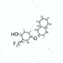 Oc1ccc(Oc2ccc3ccccc3c2)cc1C(F)(F)F